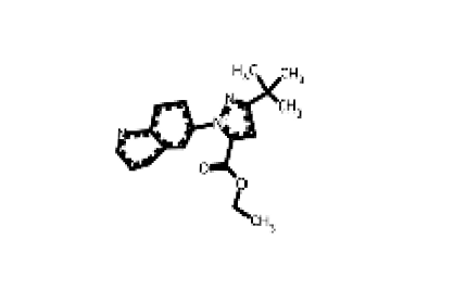 CCOC(=O)c1cc(C(C)(C)C)nn1-c1ccc2ncccc2c1